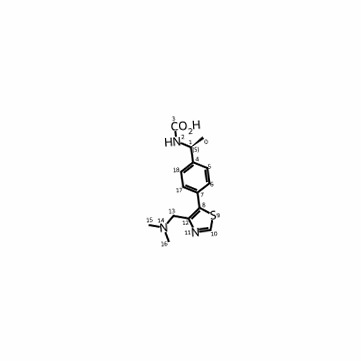 C[C@H](NC(=O)O)c1ccc(-c2scnc2CN(C)C)cc1